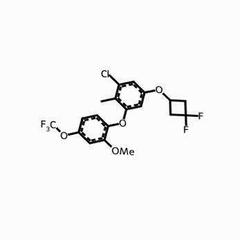 COc1cc(OC(F)(F)F)ccc1Oc1cc(OC2CC(F)(F)C2)cc(Cl)c1C